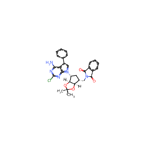 CC1(C)O[C@@H]2[C@@H](CN3C(=O)c4ccccc4C3=O)C[C@@H](n3cc(-c4ccccc4)c4c(N)nc(Cl)nc43)[C@@H]2O1